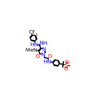 CNc1c(C(=N)Nc2ccc(C(F)(F)F)cc2)ncn(CC(=O)Nc2ccc(C(C)(C)S(C)(=O)=O)cc2)c1=O